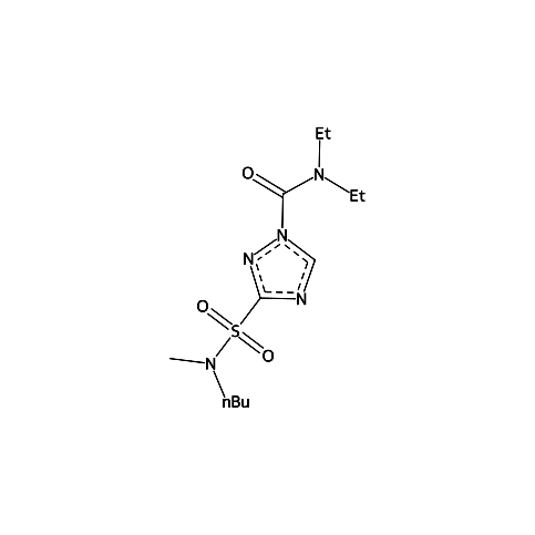 CCCCN(C)S(=O)(=O)c1ncn(C(=O)N(CC)CC)n1